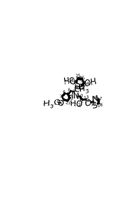 COc1ccc(CC(C)NCC(O)COc2nccs2)cc1.O=C(O)/C=C\C(=O)O